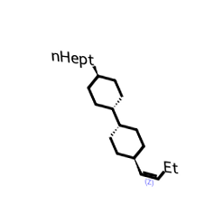 CC/C=C\[C@H]1CC[C@H]([C@H]2CC[C@H](CCCCCCC)CC2)CC1